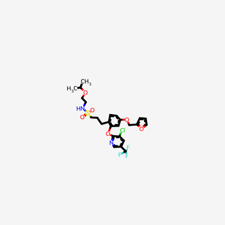 CC(C)OCCNS(=O)(=O)CCCc1ccc(OCc2ccco2)cc1Oc1ncc(C(F)(F)F)cc1Cl